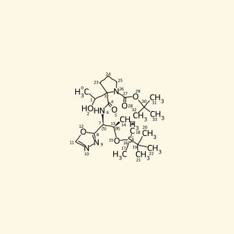 CC(O)C1(C(=O)N[C@H](c2nnco2)[C@@H](C)O[Si](C)(C)C(C)(C)C)CCCN1C(=O)OC(C)(C)C